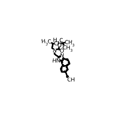 C#Cc1ccc2c(ccc3nc(CN(CC(C)C)C(=O)OC(C)(C)C)[nH]c32)c1